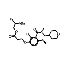 C=Nc1ccc(SCCC(=O)OCC(CC)CCCC)c(Cl)c1C(=O)N(C)CC1CCOCC1